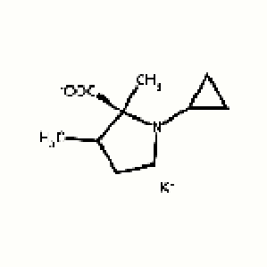 CC1CCN(C2CC2)[C@]1(C)C(=O)[O-].[K+]